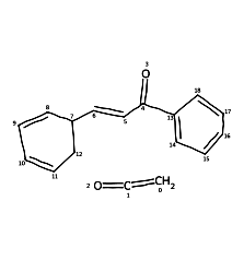 C=C=O.O=C(C=CC1C=CC=CC1)c1ccccc1